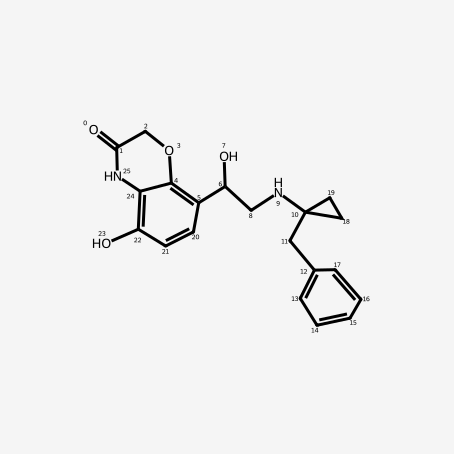 O=C1COc2c(C(O)CNC3(Cc4ccccc4)CC3)ccc(O)c2N1